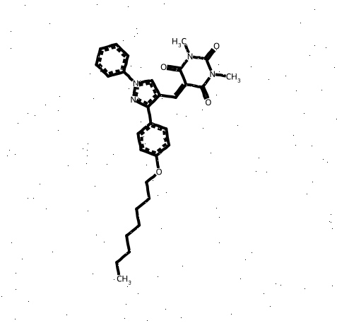 CCCCCCCCOc1ccc(-c2nn(-c3ccccc3)cc2C=C2C(=O)N(C)C(=O)N(C)C2=O)cc1